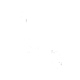 Cc1c(COc2ccc(F)cc2)oc2cccc(OCCCC(N)c3cccnc3)c12